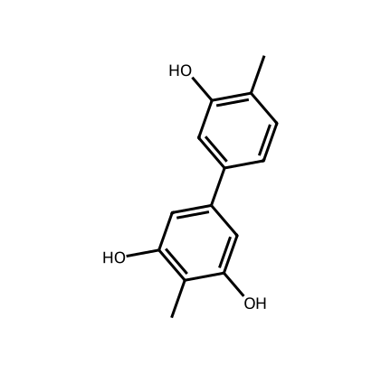 Cc1ccc(-c2cc(O)c(C)c(O)c2)cc1O